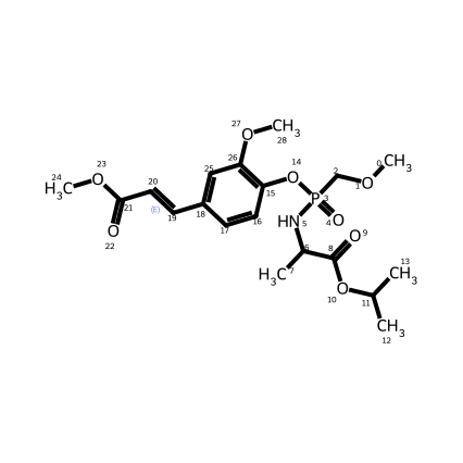 COCP(=O)(NC(C)C(=O)OC(C)C)Oc1ccc(/C=C/C(=O)OC)cc1OC